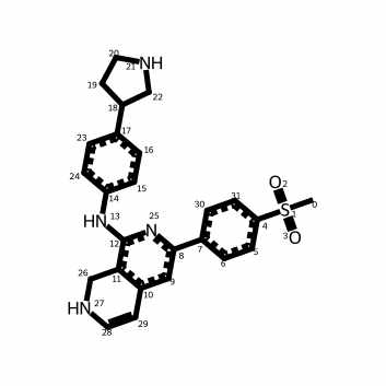 CS(=O)(=O)c1ccc(-c2cc3c(c(Nc4ccc(C5CCNC5)cc4)n2)CNC=C3)cc1